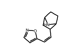 C(=C/C1CC2CCC1N2)/c1ccno1